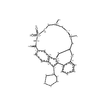 CN1CCN(C)CC2Cn3c(c(C4CCCCC4)c4ccc(cc43)C(=O)NS(=O)(=O)CC1)-c1ccccc1O2